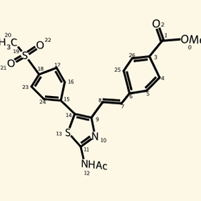 COC(=O)c1ccc(C=Cc2nc(NC(C)=O)sc2-c2ccc(S(C)(=O)=O)cc2)cc1